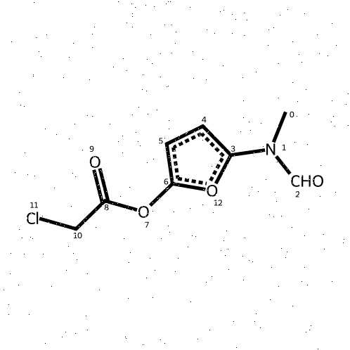 CN(C=O)c1ccc(OC(=O)CCl)o1